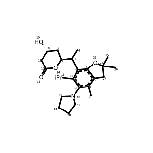 Cc1c2c(c(C(C)[C@@H]3C[C@@H](O)CC(=O)O3)c(C(C)C)c1N1CCCC1)OC(C)(C)C2